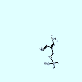 CC(C)(C)[Si](C)(C)OC/C(C=N)=C/N